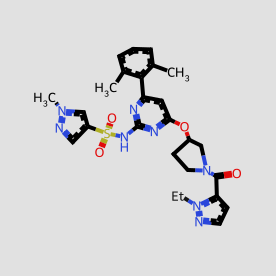 CCn1nccc1C(=O)N1CCC(Oc2cc(-c3c(C)cccc3C)nc(NS(=O)(=O)c3cnn(C)c3)n2)C1